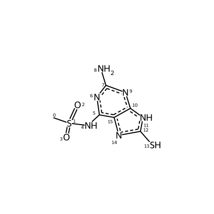 CS(=O)(=O)Nc1nc(N)nc2[nH]c(S)nc12